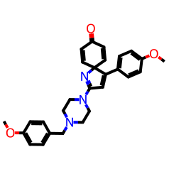 COc1ccc(CN2CCN(C3=NC4(C=CC(=O)C=C4)C(c4ccc(OC)cc4)=C3)CC2)cc1